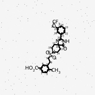 Cc1ccc(C(=O)O)cc1CCS(=O)(=O)N1CCC2(CC1)N=C(c1cccc(OC(F)(F)F)c1)NC2=O